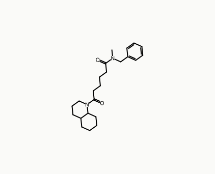 CN(Cc1ccccc1)C(=O)CCCCC(=O)N1CCCC2CCCCC21